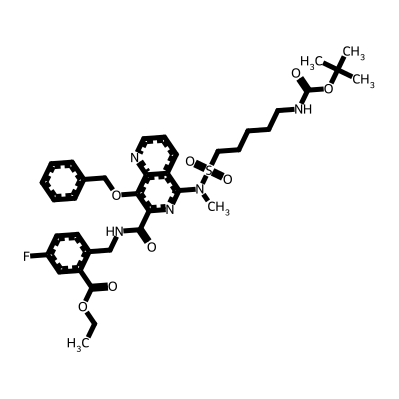 CCOC(=O)c1cc(F)ccc1CNC(=O)c1nc(N(C)S(=O)(=O)CCCCCNC(=O)OC(C)(C)C)c2cccnc2c1OCc1ccccc1